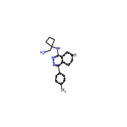 Cl.NCC1(Nc2nnc(-c3ccc(C(F)(F)F)cc3)c3ccccc23)CCC1